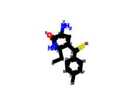 CCc1[nH]c(=O)c(N)cc1C(=S)c1ccc(C)cc1